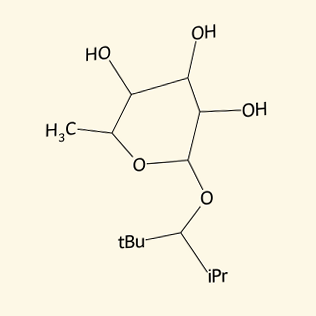 CC(C)C(OC1OC(C)C(O)C(O)C1O)C(C)(C)C